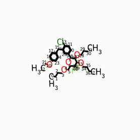 CCCCOCC1OC(c2ccc(Cl)c(Cc3ccc(OCC)cc3)c2)C(OCCCC)C(OCCCC)C1(F)F